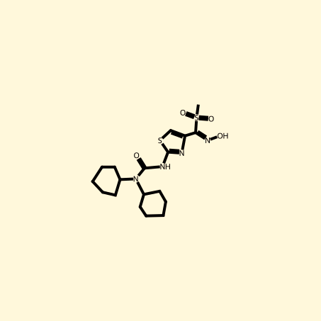 CS(=O)(=O)C(=NO)c1csc(NC(=O)N(C2CCCCC2)C2CCCCC2)n1